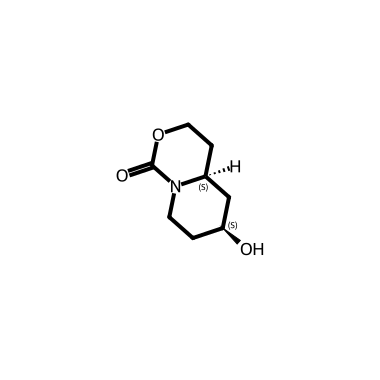 O=C1OCC[C@H]2C[C@@H](O)CCN12